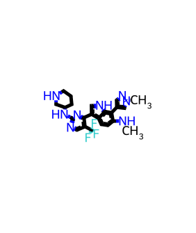 CNc1ccc2c(-c3nc(NC4CCCNC4)ncc3C(F)(F)F)c[nH]c2c1-c1cnn(C)c1